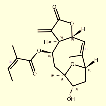 C=C1C(=O)O[C@@H]2/C=C(\C)[C@@H]3C[C@H](O)[C@@](C)(C[C@@H](OC(=O)/C(C)=C\C)[C@@H]12)O3